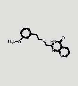 COc1cccc(CCOCc2nc3ncccc3c(=O)[nH]2)c1